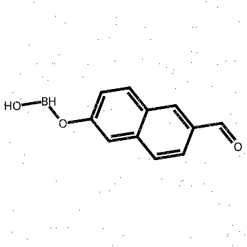 O=Cc1ccc2cc(OBO)ccc2c1